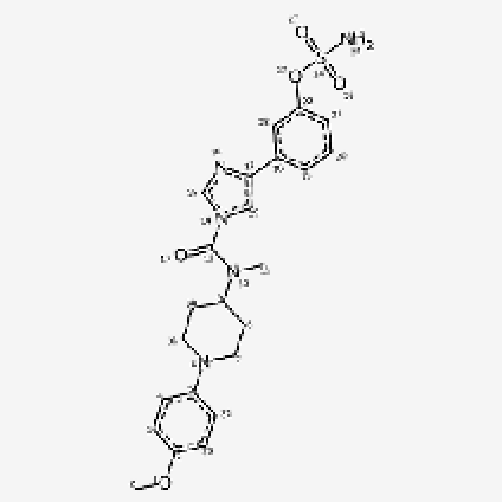 COc1ccc(N2CCC(N(C)C(=O)n3cnc(-c4cccc(OS(N)(=O)=O)c4)c3)CC2)cc1